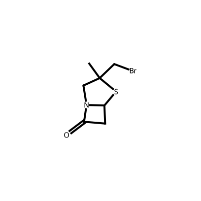 CC1(CBr)CN2C(=O)CC2S1